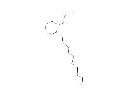 CCCCCCCCCC[C@H]1COCCN1CCO